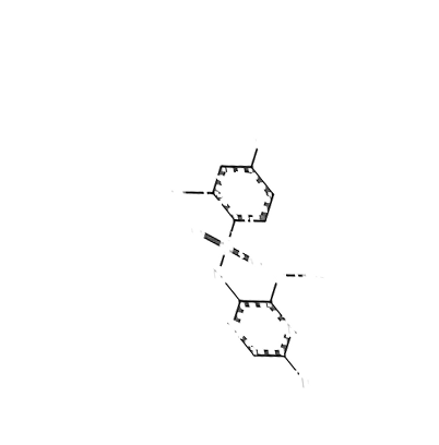 COc1nc(Br)cnc1NS(=O)(=O)c1ccc(Cl)cc1Cl